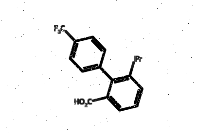 CC(C)c1cccc(C(=O)O)c1-c1ccc(C(F)(F)F)cc1